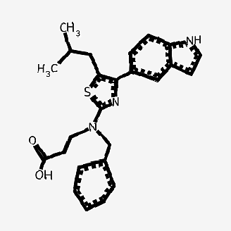 CC(C)Cc1sc(N(CCC(=O)O)Cc2ccccc2)nc1-c1ccc2[nH]ccc2c1